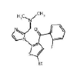 CCc1cc(C(=O)c2ccccc2F)c(-n2ccnc2CN(C)C)s1